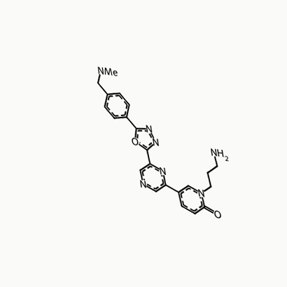 CNCc1ccc(-c2nnc(-c3cncc(-c4ccc(=O)n(CCCN)c4)n3)o2)cc1